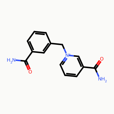 NC(=O)c1cccc(C[n+]2cccc(C(N)=O)c2)c1